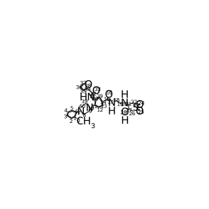 Cc1ccccc1N1CCN(c2ccc(C(=O)NCCNC3CS(=O)(=O)CC3O)cc2NC(=O)c2ccco2)CC1